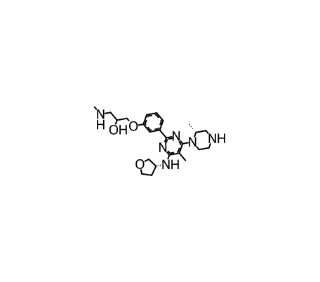 CNCC(O)COc1cccc(-c2nc(N[C@@H]3CCOC3)c(C)c(N3CCNC[C@H]3C)n2)c1